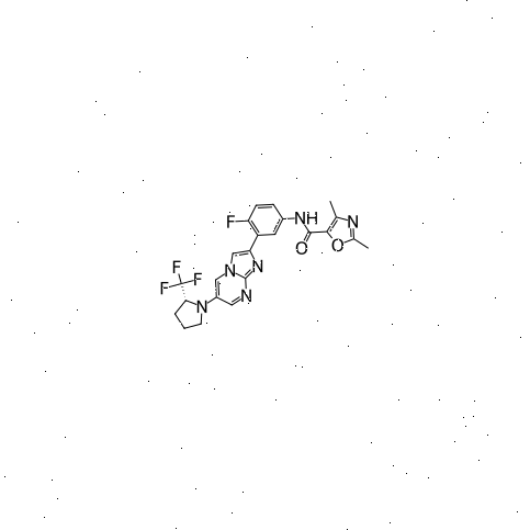 Cc1nc(C)c(C(=O)Nc2ccc(F)c(-c3cn4cc(N5CCC[C@@H]5C(F)(F)F)cnc4n3)c2)o1